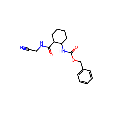 N#CCNC(=O)C1CCCCC1NC(=O)OCc1ccccc1